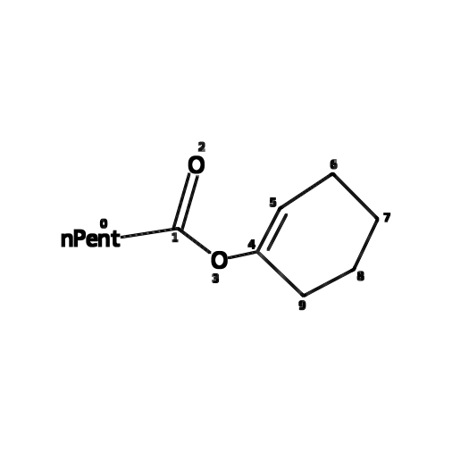 CCCCCC(=O)OC1=CCCCC1